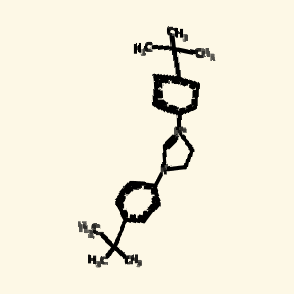 CC(C)(C)c1ccc(N2C=[N+](c3ccc(C(C)(C)C)cc3)CC2)cc1